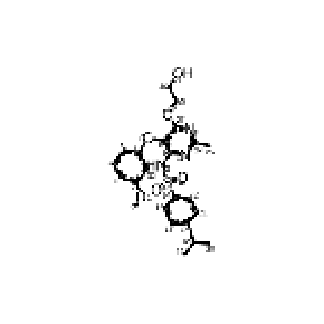 COc1cccc(Oc2c(NS(=O)(=O)c3ccc(C(C)C)cc3)nc(C)nc2OCCO)c1